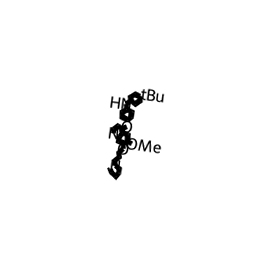 COc1cc2c(Oc3ccc(Nc4ccc(C(C)(C)C)cc4)cc3)ccnc2cc1OCCCN1CCCCC1